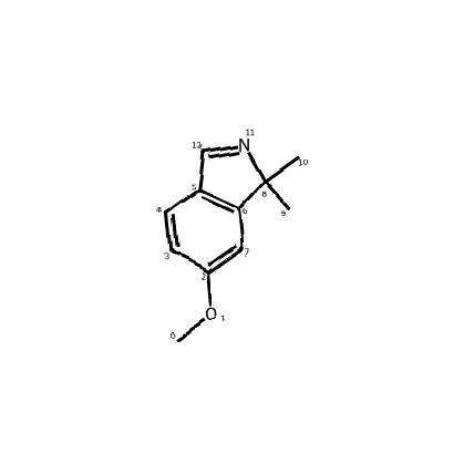 COc1ccc2c(c1)C(C)(C)N=C2